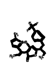 CCC(Cc1ccc(C(F)(F)F)cc1)c1cc(O)c(C(CC)c2ccc(C)s2)c(=O)o1